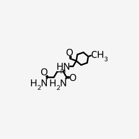 CC1CCC(C=O)(CN[C@H](CCC(N)=O)C(N)=O)CC1